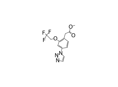 COC(=O)Cc1ccc(-n2ccnn2)cc1OCC(F)(F)F